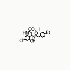 CCc1ccc(CC(=O)NC2CC(C(=O)O)Nc3cc(Cl)cc(Cl)c32)cc1